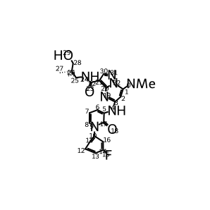 CNc1cc(Nc2cccn(-c3cccc(F)c3)c2=O)nc2c(C(=O)NC[C@H](C)CO)cnn12